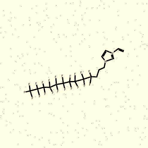 C=C[n+]1ccn(CCCC(F)(F)C(F)(F)C(F)(F)C(F)(F)C(F)(F)C(F)(F)C(F)(F)C(F)(F)C(F)(F)C(F)(F)F)c1